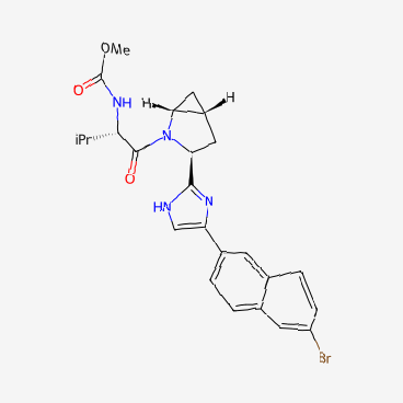 COC(=O)N[C@H](C(=O)N1[C@@H]2C[C@@H]2C[C@H]1c1nc(-c2ccc3cc(Br)ccc3c2)c[nH]1)C(C)C